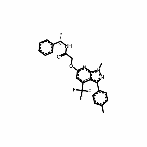 Cc1ccc(-c2nn(C)c3nc(OCC(=O)N[C@@H](C)c4ccccc4)cc(C(F)(F)F)c23)cc1